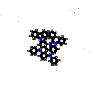 c1ccc(-c2nc3c4c(ccc3n2-c2ccccc2)N(c2ccccc2)c2cccc3c2B4c2cc4c5cccc6c7ccccc7n(c4cc2N3c2ccccc2)c65)cc1